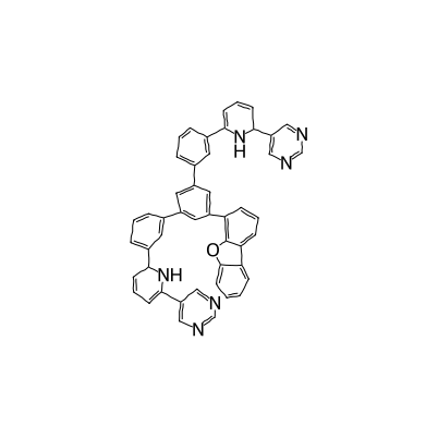 C1=CC(c2cncnc2)NC(c2cccc(-c3cc(-c4cccc(C5C=CC=C(c6cncnc6)N5)c4)cc(-c4cccc5c4oc4ccccc45)c3)c2)=C1